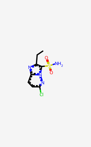 CCc1nc2ccc(Cl)nn2c1S(N)(=O)=O